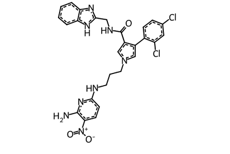 Nc1nc(NCCCn2cc(C(=O)NCc3nc4ccccc4[nH]3)c(-c3ccc(Cl)cc3Cl)c2)ccc1[N+](=O)[O-]